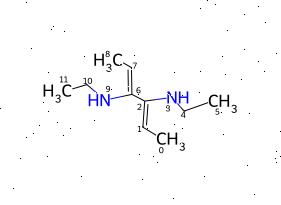 C/C=C(NCC)/C(=C/C)NCC